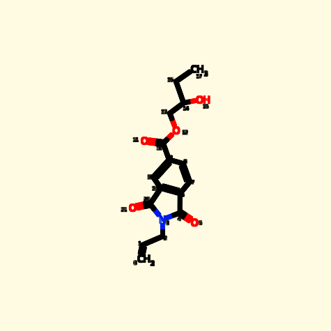 C=CCN1C(=O)c2ccc(C(=O)OCC(O)CC)cc2C1=O